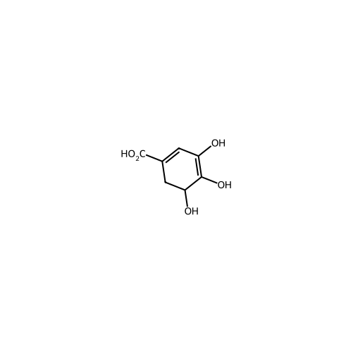 O=C(O)C1=CC(O)=C(O)C(O)C1